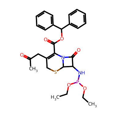 CCOP(NC1C(=O)N2C(C(=O)OC(c3ccccc3)c3ccccc3)=C(CC(C)=O)CSC12)OCC